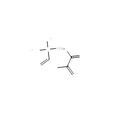 C=C(C)C(=O)OC.C=C[Si](OC)(OC)OC